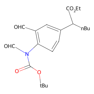 CCCCC(C(=O)OCC)c1ccc(N(C=O)C(=O)OC(C)(C)C)c(C=O)c1